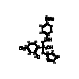 CSc1ccc(NCC(O)(Cn2cncn2)c2ccc(Cl)cc2Cl)cc1